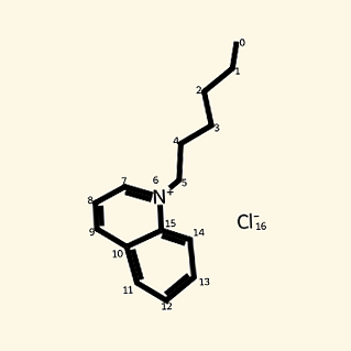 CCCCCC[n+]1cccc2ccccc21.[Cl-]